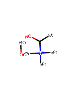 CCC[N+](CCC)(CCC)C(O)CC.O=N[O-]